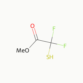 COC(=O)C(F)(F)S